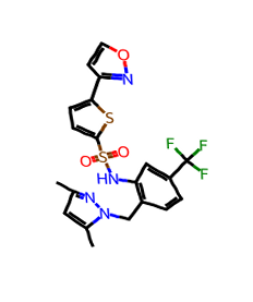 Cc1cc(C)n(Cc2ccc(C(F)(F)F)cc2NS(=O)(=O)c2ccc(-c3ccon3)s2)n1